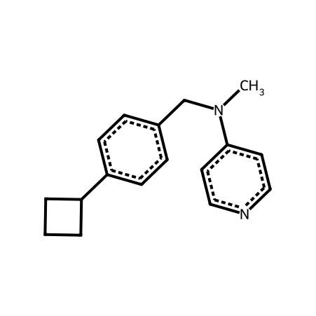 CN(Cc1ccc(C2CCC2)cc1)c1ccncc1